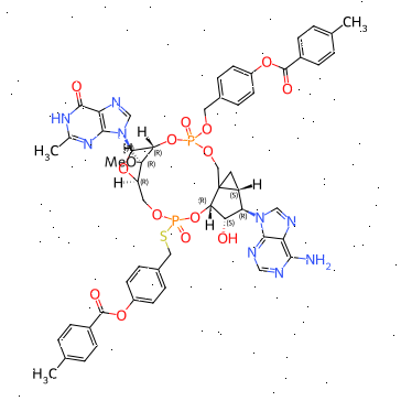 CO[C@H]1[C@H]2OP(=O)(OCc3ccc(OC(=O)c4ccc(C)cc4)cc3)OCC34C[C@@H]3[C@@H](n3cnc5c(N)ncnc53)[C@H](O)[C@@H]4OP(=O)(SCc3ccc(OC(=O)c4ccc(C)cc4)cc3)OC[C@H]1O[C@H]2n1cnc2c(=O)[nH]c(C)nc21